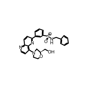 O=S(=O)(NCc1ccccc1)c1cccc(-c2ccc3nccc(N4CCO[C@H](CO)C4)c3n2)c1